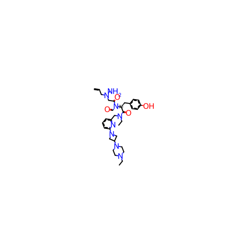 C=CCN(N)CC(=O)N(C=O)[C@@H](Cc1ccc(O)cc1)C(=O)N(CC)Cc1cccc(N2CC(N3CCN(CC)CC3)C2)n1